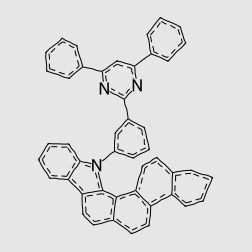 c1ccc(-c2cc(-c3ccccc3)nc(-c3cccc(-n4c5ccccc5c5ccc6ccc7c8ccccc8ccc7c6c54)c3)n2)cc1